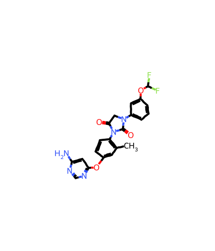 Cc1cc(Oc2cc(N)ncn2)ccc1N1C(=O)CN(c2cccc(OC(F)F)c2)C1=O